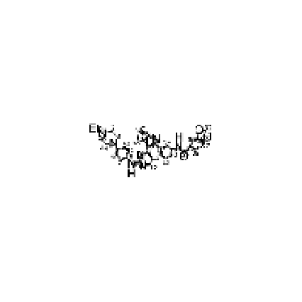 CCN1CCN(c2ccc(Nc3nccc(-c4c(-c5cccc(NC(=O)c6ccc7c(c6)OCO7)c5)nc5n4CCS5)n3)cc2)CC1